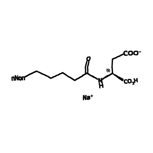 CCCCCCCCCCCCCC(=O)N[C@@H](CC(=O)[O-])C(=O)O.[Na+]